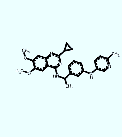 COc1cc2nc(C3CC3)nc(NC(C)c3cccc(Nc4ccc(C)nc4)c3)c2cc1OC